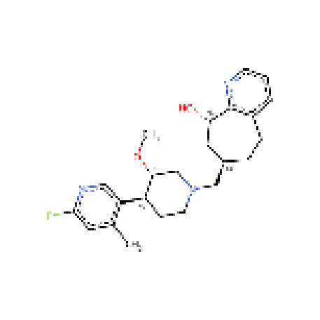 CO[C@@H]1CN(C[C@@H]2CCc3cccnc3[C@@H](O)C2)CC[C@H]1c1cnc(F)cc1C